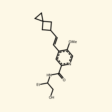 CCC(CO)NC(=O)c1cc(C=CC2CC3(CC3)C2)c(OC)cn1